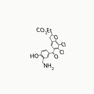 CCOC(=O)C1Cc2cc(C(=O)c3ccc(O)c(CN)c3)c(Cl)c(Cl)c2O1